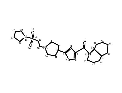 O=C(c1csc(C2CCN(CCS(=O)(=O)N3CCCC3)CC2)c1)N1CCCC2CCCCC21